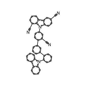 N#Cc1ccc2c(c1)c1cccc(C#N)c1n2-c1ccc(-c2cccc(-c3ccccc3-n3c4ccccc4c4ccccc43)c2)c(C#N)c1